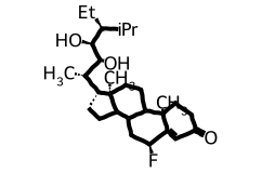 CC[C@@H](C(C)C)[C@H](O)[C@@H](O)[C@@H](C)[C@H]1CCC2C3C[C@H](F)C4=CC(=O)CC[C@]4(C)C3CC[C@@]21C